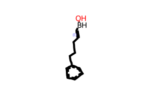 OB/C=C/CCCc1ccccc1